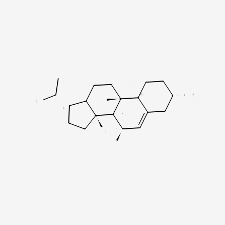 CC(C=O)[C@H]1CC[C@H]2[C@@H]3[C@H](O)C=C4C[C@@H](O)CC[C@]4(C)[C@H]3CC[C@]12C